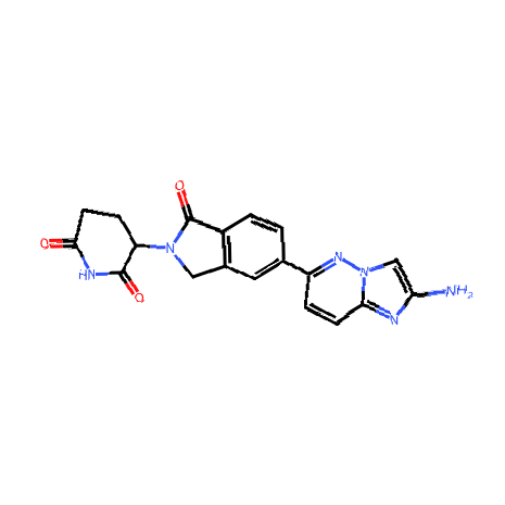 Nc1cn2nc(-c3ccc4c(c3)CN(C3CCC(=O)NC3=O)C4=O)ccc2n1